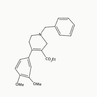 CCOC(=O)C1=C(c2ccc(OC)c(OC)c2)CCN(Cc2ccccc2)C1